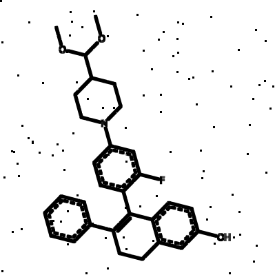 COC(OC)C1CCN(c2ccc(C3=C(c4ccccc4)CCc4cc(O)ccc43)c(F)c2)CC1